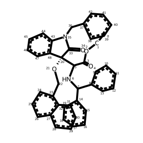 CCOC(=O)C(NC(c1ccccc1)c1ccccc1)[C@]1(OCc2cccc3ccccc23)C(=O)N(Cc2ccccc2)c2ccccc21